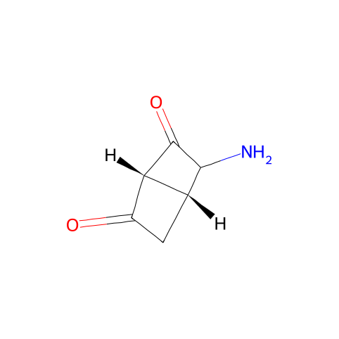 NC1C(=O)[C@H]2C(=O)C[C@@H]12